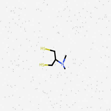 CN(C)C(CS)CS